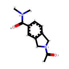 CC(=O)N1Cc2ccc(C(=O)N(C)C)cc2C1